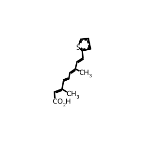 CC(/C=C/c1cccs1)=C\C=C\C(C)=C\C(=O)O